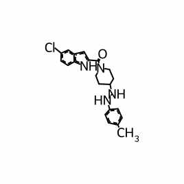 Cc1ccc(NNC2CCN(C(=O)c3cc4cc(Cl)ccc4[nH]3)CC2)cc1